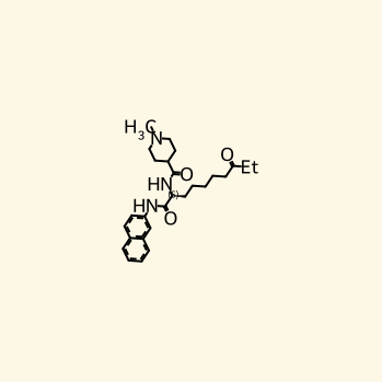 CCC(=O)CCCCC[C@H](NC(=O)C1CCN(C)CC1)C(=O)Nc1ccc2ccccc2c1